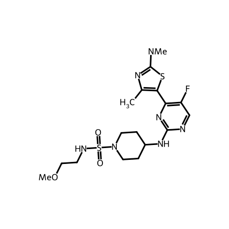 CNc1nc(C)c(-c2nc(NC3CCN(S(=O)(=O)NCCOC)CC3)ncc2F)s1